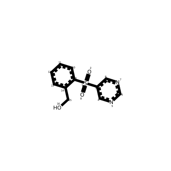 O=S(=O)(c1cncnc1)c1ccccc1CO